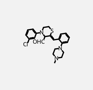 CN1CCN(c2ccccc2C=C2SCCN(c3cccc(Cl)c3)C2C=O)CC1